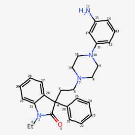 CCN1C(=O)C(CCN2CCN(c3cccc(N)c3)CC2)(c2ccccc2)c2ccccc21